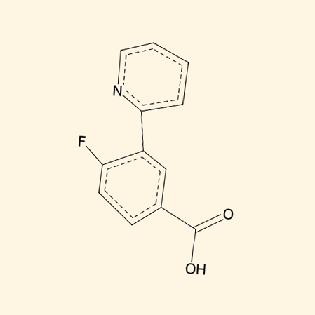 O=C(O)c1ccc(F)c(-c2ccccn2)c1